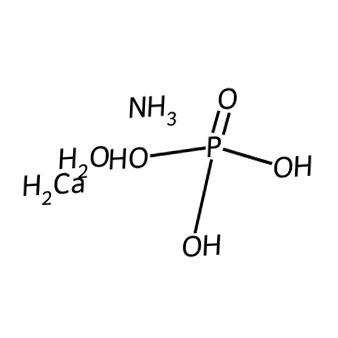 N.O.O=P(O)(O)O.[CaH2]